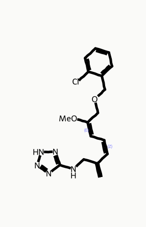 C=C(/C=C\C=C(/COCc1ccccc1Cl)OC)CNc1nn[nH]n1